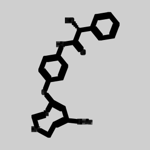 CC(=O)NC1=C\CN/C=N/C(Oc2ccc(NC(=O)[C@H](O)c3ccccc3)cc2)=C\1